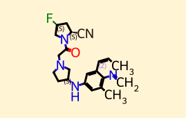 C=Nc1c(C)cc(N[C@H]2CCN(CC(=O)N3C[C@@H](F)C[C@H]3C#N)C2)cc1/C=C\C